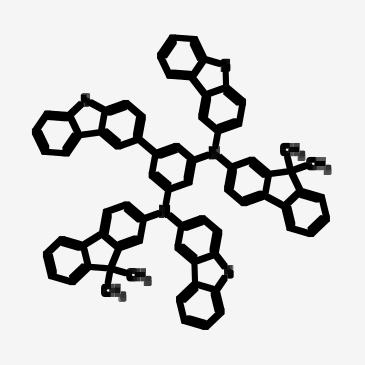 CC1(C)c2ccccc2-c2ccc(N(c3cc(-c4ccc5sc6ccccc6c5c4)cc(N(c4ccc5c(c4)C(C)(C)c4ccccc4-5)c4ccc5sc6ccccc6c5c4)c3)c3ccc4sc5ccccc5c4c3)cc21